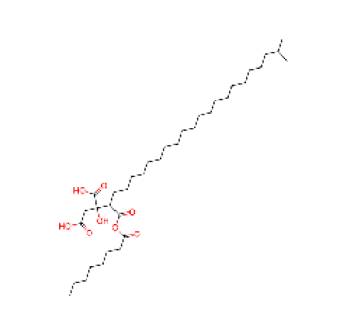 CCCCCCCC(=O)OC(=O)C(CCCCCCCCCCCCCCCCCCCC(C)C)C(O)(CC(=O)O)C(=O)O